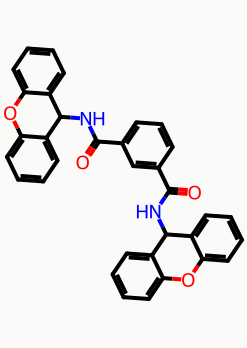 O=C(NC1c2ccccc2Oc2ccccc21)c1cccc(C(=O)NC2c3ccccc3Oc3ccccc32)c1